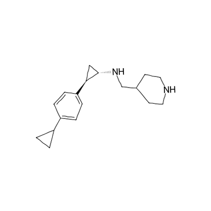 c1cc([C@H]2C[C@@H]2NCC2CCNCC2)ccc1C1CC1